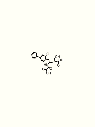 O=C(O)C(=O)N[C@H](Cc1ccc(-c2ccccc2)cc1Cl)C[C@H](CO)C(=O)O